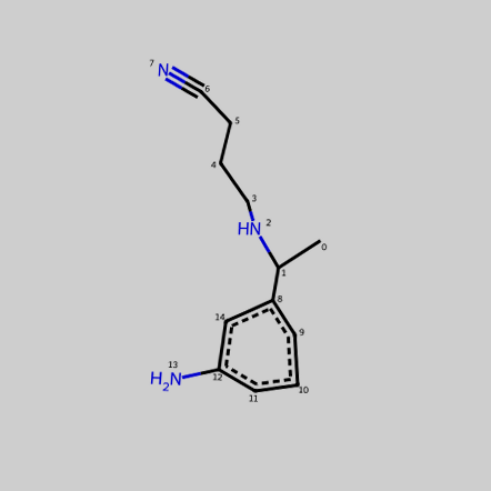 CC(NCCCC#N)c1cccc(N)c1